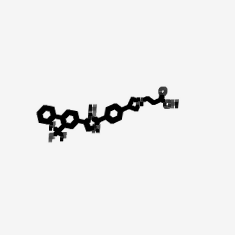 O=C(O)CCN1CC(c2ccc(-c3ncc(-c4ccc(-c5ccccc5)c(C(F)(F)F)c4)[nH]3)cc2)C1